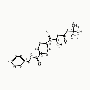 CC(C)(O)CC(=O)CC(O)C(=O)N1CCN(C(=O)OCc2ccccc2)CC1